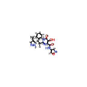 Cc1cnn(C)c1[C@H](c1ccccc1C#N)[C@H](C)c1nc(C(=O)Nc2cnoc2)c(O)c(=O)n1C